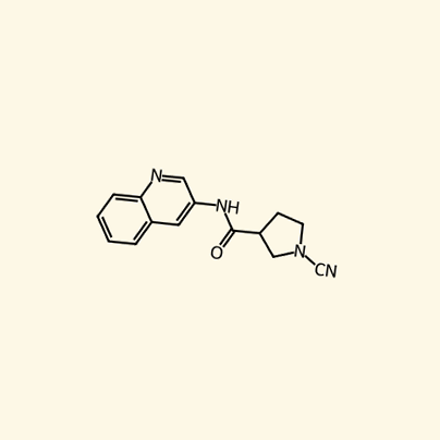 N#CN1CCC(C(=O)Nc2cnc3ccccc3c2)C1